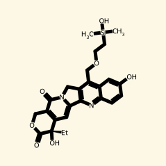 CC[C@@]1(O)C(=O)OCc2c1cc1n(c2=O)Cc2c-1nc1ccc(O)cc1c2COCC[Si](C)(C)O